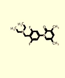 CCN(CC)Cc1c(F)cc(-n2cc(C)cc(C)c2=O)cc1F